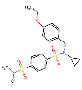 CCOc1ccc(CN(C2CC2)S(=O)(=O)c2ccc(S(=O)(=O)N(C)C)cc2)cc1